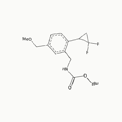 COCc1ccc(C2CC2(F)F)c(CNC(=O)OC(C)(C)C)c1